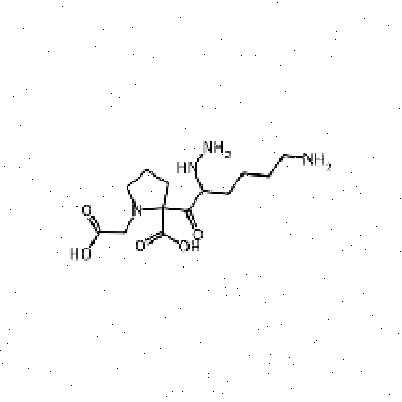 NCCCCC(NN)C(=O)C1(C(=O)O)CCCN1CC(=O)O